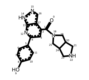 O=C(c1cc(-c2ccc(O)cc2)nc2[nH]ncc12)N1CC2CNCC2C1